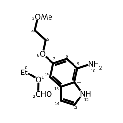 CCOC=O.COCCOc1cc(N)c2[nH]ccc2c1